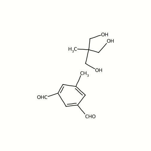 CC(CO)(CO)CO.Cc1cc(C=O)cc(C=O)c1